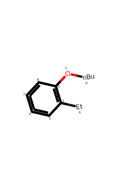 CCCCOC1=C(CC)C=C=C=C1